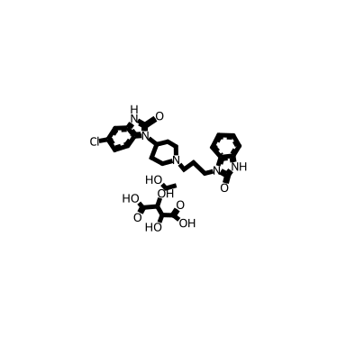 CCO.O=C(O)C(O)C(O)C(=O)O.O=c1[nH]c2ccccc2n1CCCN1CCC(n2c(=O)[nH]c3cc(Cl)ccc32)CC1